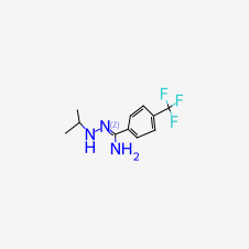 CC(C)N/N=C(\N)c1ccc(C(F)(F)F)cc1